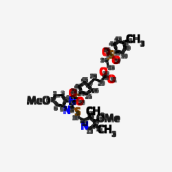 COc1ccc2c(c1)nc(SCc1ncc(C)c(OC)c1C)n2S(=O)(=O)c1ccc(CCC(=O)OCCS(=O)(=O)c2ccc(C)cc2)cc1